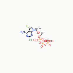 C[C@@]1(COP(=O)(O)OP(=O)(O)OP(=O)(O)O)CC[C@H](n2cc(F)c3c(N)nc(Cl)nc32)O1